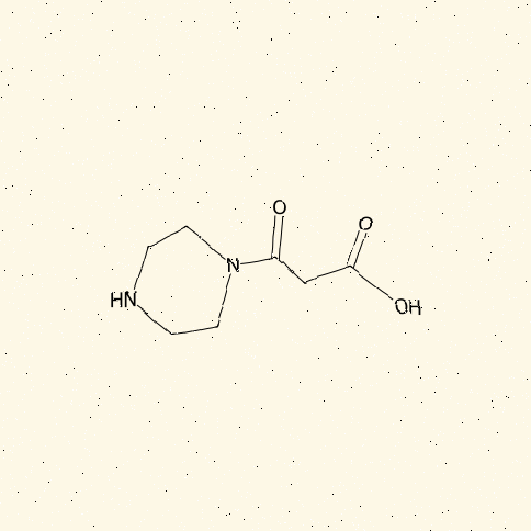 O=C(O)CC(=O)N1CCNCC1